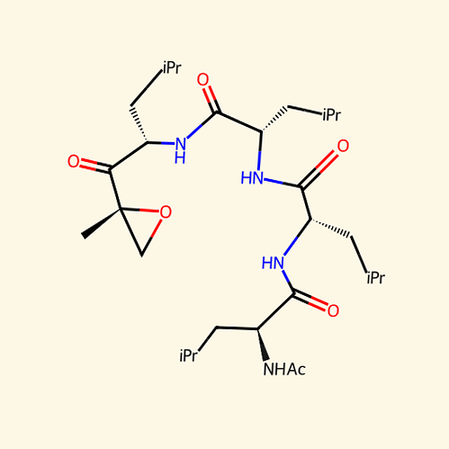 CC(=O)N[C@@H](CC(C)C)C(=O)N[C@@H](CC(C)C)C(=O)N[C@@H](CC(C)C)C(=O)N[C@@H](CC(C)C)C(=O)[C@@]1(C)CO1